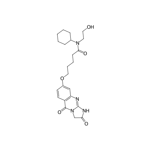 O=C1Cn2c(nc3cc(OCCCCC(=O)N(CCO)C4CCCCC4)ccc3c2=O)N1